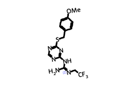 COc1ccc(CSc2ncnc(N/C(N)=N\CC(F)(F)F)n2)cc1